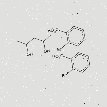 CC(O)CC(C)O.O=C(O)c1ccccc1Br.O=C(O)c1ccccc1Br